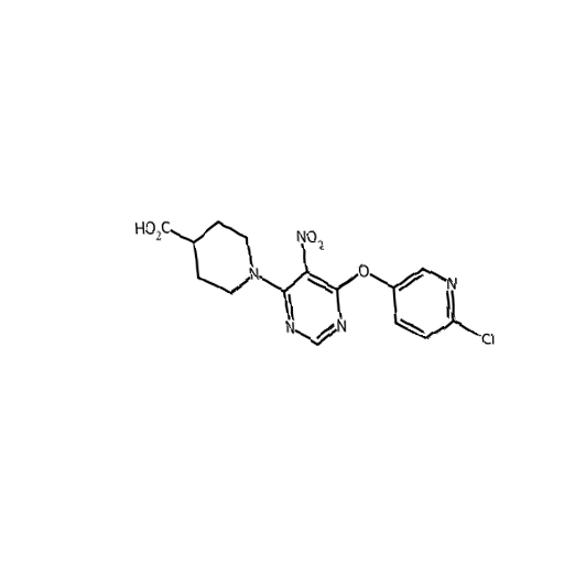 O=C(O)C1CCN(c2ncnc(Oc3ccc(Cl)nc3)c2[N+](=O)[O-])CC1